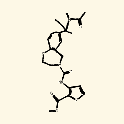 COC(=O)c1sccc1NC(=O)N1CCOc2ccc(C(C)(C)N(C)C(C)=O)cc2C1